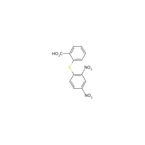 O=C(O)c1ccccc1Sc1ccc([N+](=O)[O-])cc1[N+](=O)[O-]